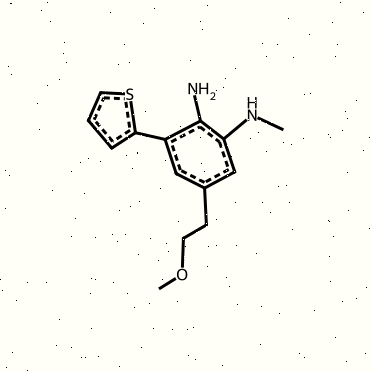 CNc1cc(CCOC)cc(-c2cccs2)c1N